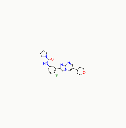 O=C(Nc1ccc(F)c(-c2cn3cc(C4=CCOCC4)cnc3n2)c1)N1CCCC1